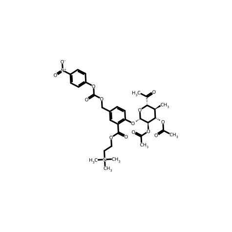 CC(=O)O[C@H]1[C@H](Oc2ccc(COC(=O)Oc3ccc([N+](=O)[O-])cc3)cc2C(=O)OCC[Si](C)(C)C)O[C@H](C(C)=O)[C@@H](C)[C@@H]1OC(C)=O